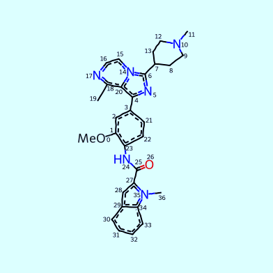 COc1cc(-c2nc(C3CCN(C)CC3)n3ccnc(C)c23)ccc1NC(=O)c1cc2ccccc2n1C